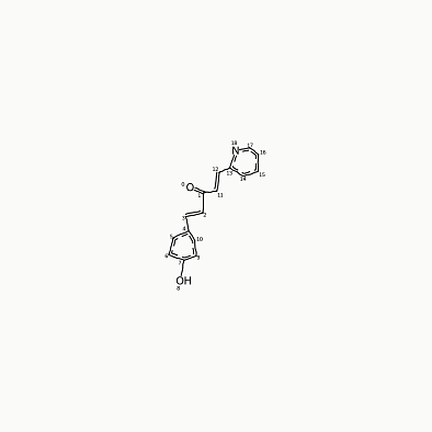 O=C(C=Cc1ccc(O)cc1)C=Cc1ccccn1